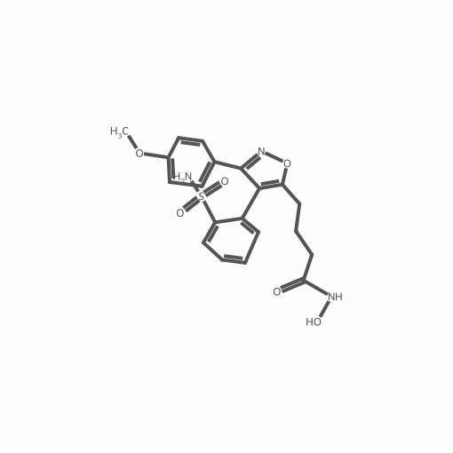 COc1ccc(-c2noc(CCCC(=O)NO)c2-c2ccccc2S(N)(=O)=O)cc1